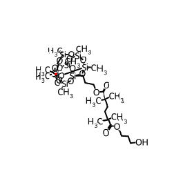 CC(C)(CCC(C)(C)C(=O)OCCC[Si]12O[Si]3(C)O[Si]4(C)O[Si]5(C)O[Si](C)(O3)O[Si](C)(O[Si](C)(O5)O[Si](C)(O4)O1)O2)C(=O)OCCCO